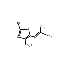 CCc1nc(C(=O)O)c(N=C(N)N)s1